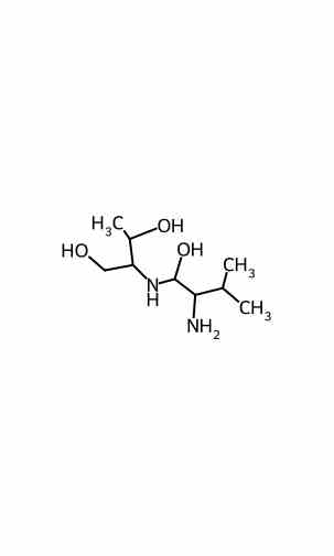 CC(C)C(N)C(O)NC(CO)C(C)O